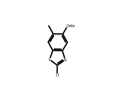 COc1cc2nc(Cl)sc2cc1C